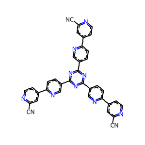 N#Cc1cc(-c2ccc(-c3nc(-c4ccc(-c5ccnc(C#N)c5)nc4)nc(-c4ccc(-c5ccnc(C#N)c5)nc4)n3)cn2)ccn1